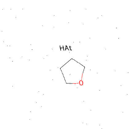 C1CCOC1.[AtH]